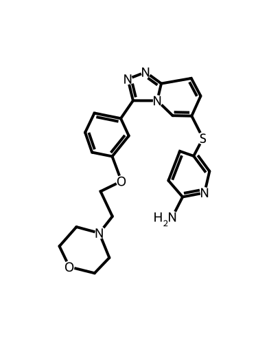 Nc1ccc(Sc2ccc3nnc(-c4cccc(OCCN5CCOCC5)c4)n3c2)cn1